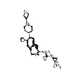 C[C@@H]1C[C@H]1C(=O)Nc1cc2cc(C3CCN(C4COC4)CC3)c(Cl)cc2cn1